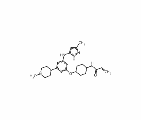 C=CC(=O)NC1CCC(Oc2nc(Nc3cc(C)n[nH]3)cc(N3CCN(C)CC3)n2)CC1